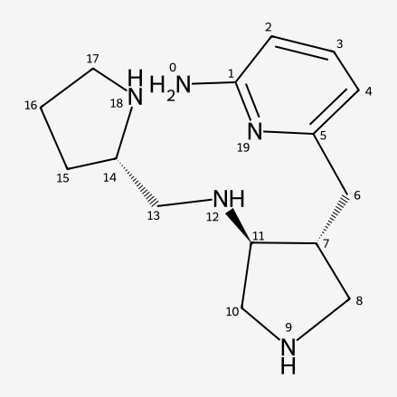 Nc1cccc(C[C@@H]2CNC[C@H]2NC[C@@H]2CCCN2)n1